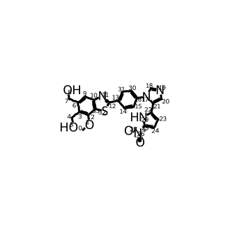 COc1c(CO)c(CO)cc2nc(-c3ccc(-n4cncc4-c4ccc([N+](=O)[O-])[nH]4)cc3)sc12